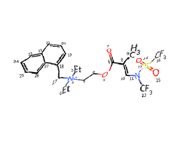 CC[N+](CC)(CCOC(=O)C(C)=CN(C(F)(F)F)S(=O)(=O)C(F)(F)F)Cc1cccc2ccccc12